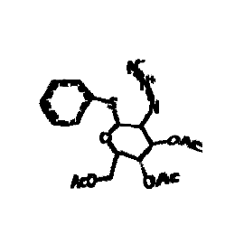 CC(=O)OCC1OC(Sc2ccccc2)C(N=[N+]=[N-])C(OC(C)=O)[C@@H]1OC(C)=O